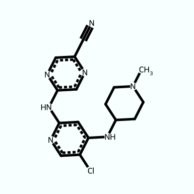 CN1CCC(Nc2cc(Nc3cnc(C#N)cn3)ncc2Cl)CC1